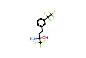 NC(O)(CCc1cccc(C(F)(F)C(F)(F)F)c1)C(F)(F)F